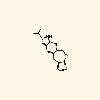 CC(C)N1C=C2C=C3Cc4ccccc4OCC3=CC2N1